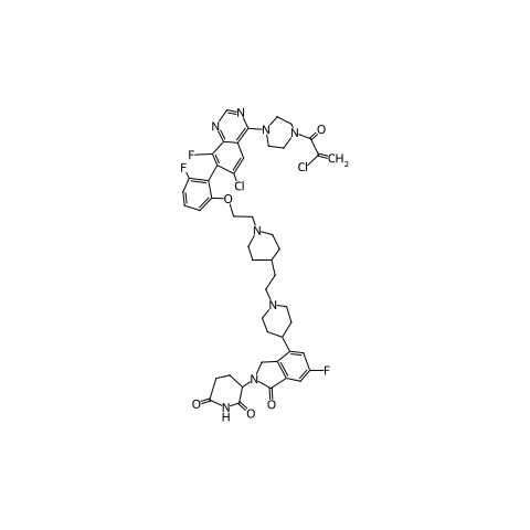 C=C(Cl)C(=O)N1CCN(c2ncnc3c(F)c(-c4c(F)cccc4OCCN4CCC(CCN5CCC(c6cc(F)cc7c6CN(C6CCC(=O)NC6=O)C7=O)CC5)CC4)c(Cl)cc23)CC1